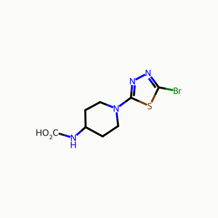 O=C(O)NC1CCN(c2nnc(Br)s2)CC1